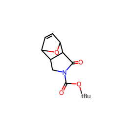 CC(C)(C)OC(=O)N1CC2C3C=CC(O3)C2C1=O